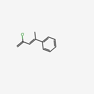 C=C(Cl)C=C(C)c1ccccc1